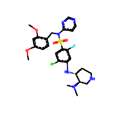 COc1ccc(CN(c2ccncn2)S(=O)(=O)c2cc(Cl)c(N[C@@H]3CCNC[C@H]3N(C)C)cc2F)c(OC)c1